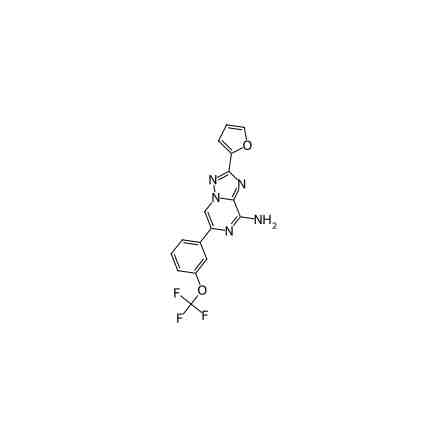 Nc1nc(-c2cccc(OC(F)(F)F)c2)cn2nc(-c3ccco3)nc12